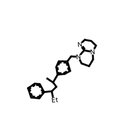 CCC(CC(C)c1ccc(CN2CCCN3CCCN=C32)cc1)c1ccccc1